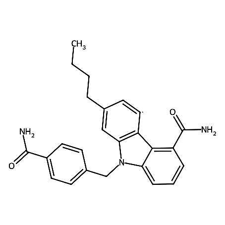 CCCCc1c[c]c2c3c(C(N)=O)cccc3n(Cc3ccc(C(N)=O)cc3)c2c1